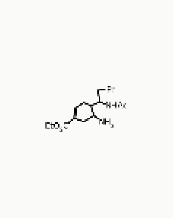 CCOC(=O)C1=CCC(C(CC(C)C)NC(C)=O)C(N)C1